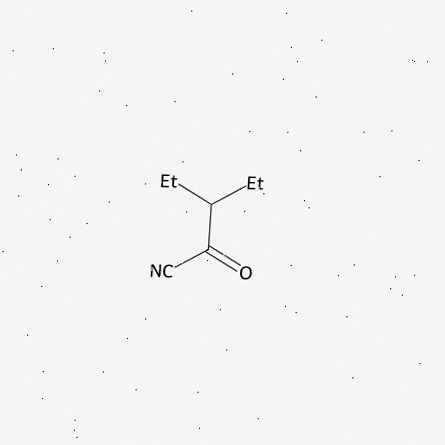 CCC(CC)C(=O)C#N